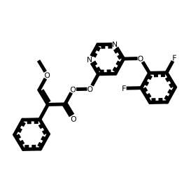 COC=C(C(=O)OOc1cc(Oc2c(F)cccc2F)ncn1)c1ccccc1